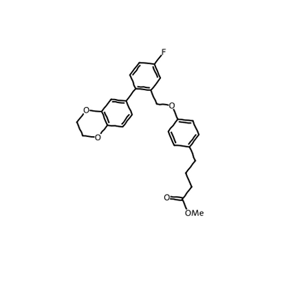 COC(=O)CCCc1ccc(OCc2cc(F)ccc2-c2ccc3c(c2)OCCO3)cc1